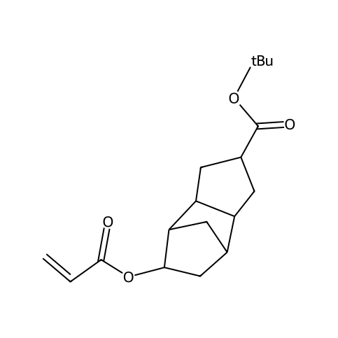 C=CC(=O)OC1CC2CC1C1CC(C(=O)OC(C)(C)C)CC21